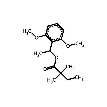 CCC(C)(C)C(=O)OC(C)c1c(OC)cccc1OC